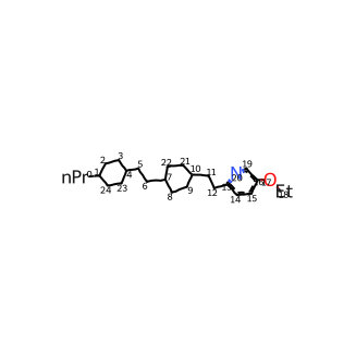 CCCC1CCC(CCC2CCC(CCc3ccc(OCC)cn3)CC2)CC1